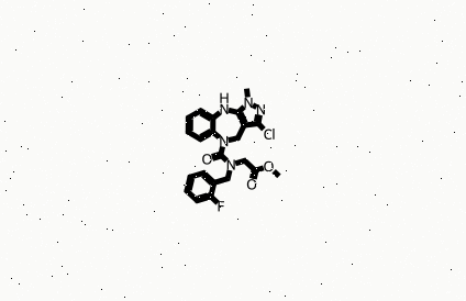 COC(=O)CN(Cc1ccccc1F)C(=O)N1Cc2c(Cl)nn(C)c2Nc2ccccc21